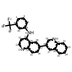 FC(F)(F)c1cccc(Nc2ccnc3ccc(-c4cnc5ccccc5c4)cc23)c1